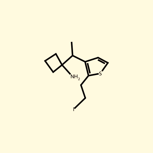 CC(c1ccsc1CCI)C1(N)CCC1